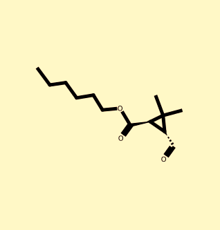 CCCCCCOC(=O)[C@@H]1[C@@H](C=O)C1(C)C